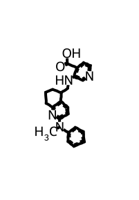 CN(c1ccccc1)c1ccc2c(n1)CCCC2CNc1cnccc1C(=O)O